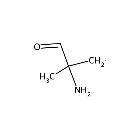 [CH2]C(C)(N)C=O